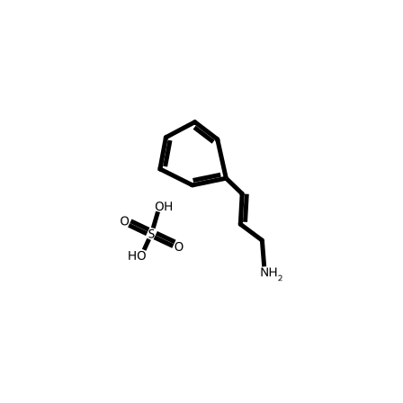 NCC=Cc1ccccc1.O=S(=O)(O)O